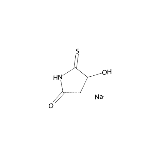 O=C1CC(O)C(=S)N1.[Na]